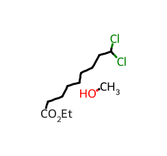 CCOC(=O)CCCCCCCC(Cl)Cl.CO